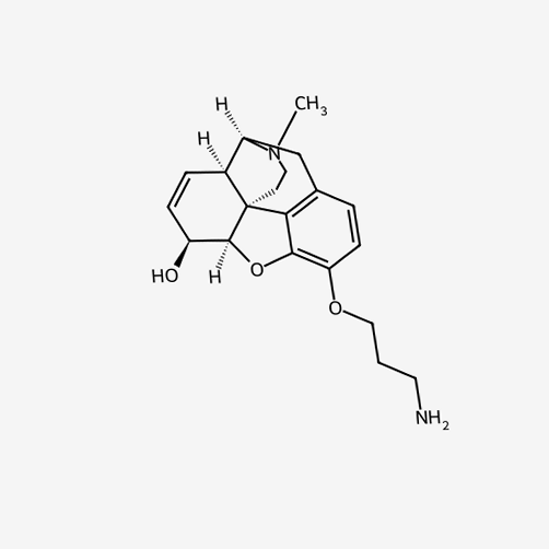 CN1CC[C@]23c4c5ccc(OCCCN)c4O[C@H]2[C@@H](O)C=C[C@H]3[C@H]1C5